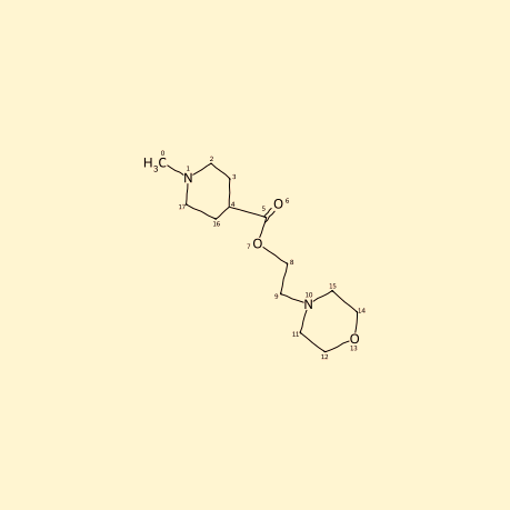 CN1CCC(C(=O)OCCN2CCOCC2)CC1